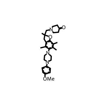 COc1ccc(N2CCN(c3c(C)c(C)c4c(c3C)CC(C)(CN3CCC(=O)CC3)O4)CC2)cc1